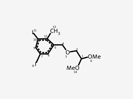 COC(COCc1cc(I)cc(I)c1C)OC